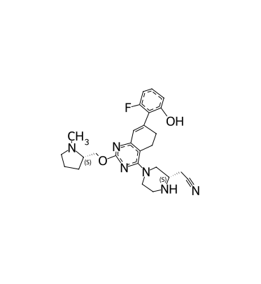 CN1CCC[C@H]1COc1nc2c(c(N3CCN[C@@H](CC#N)C3)n1)CCC(c1c(O)cccc1F)=C2